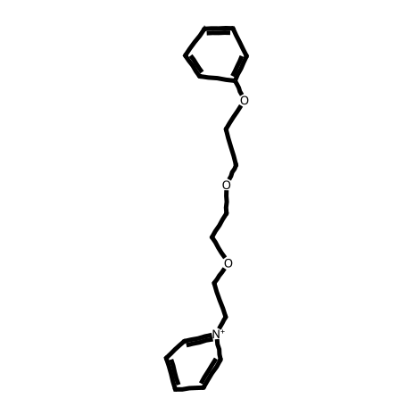 [c]1ccc(OCCOCCOCC[n+]2ccccc2)cc1